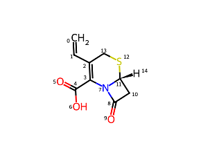 C=CC1=C(C(=O)O)N2C(=O)C[C@H]2SC1